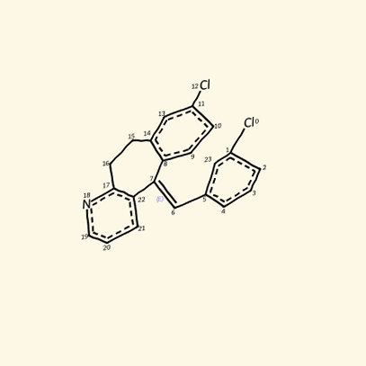 Clc1cccc(/C=C2\c3ccc(Cl)cc3CCc3ncccc32)c1